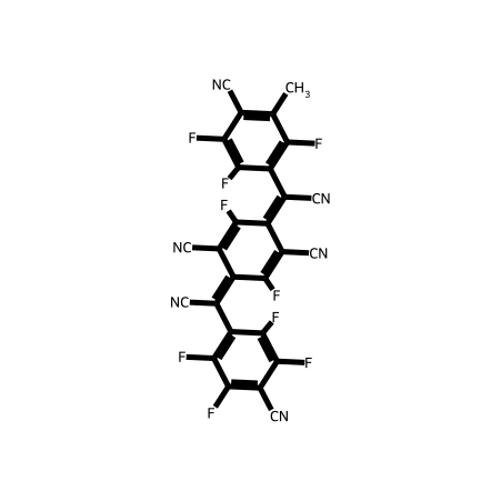 Cc1c(F)c(/C(C#N)=c2\c(F)c(C#N)/c(=C(\C#N)c3c(F)c(F)c(C#N)c(F)c3F)c(F)c2C#N)c(F)c(F)c1C#N